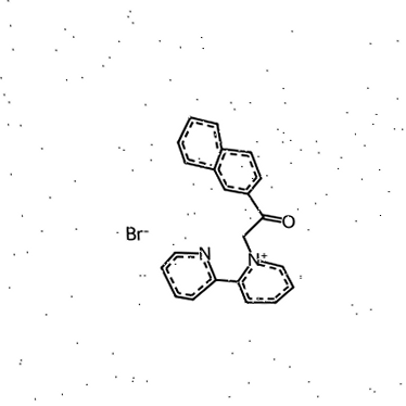 O=C(C[n+]1ccccc1-c1ccccn1)c1ccc2ccccc2c1.[Br-]